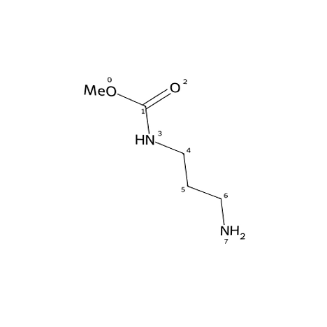 COC(=O)NCCCN